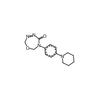 O=C1N=NCOCN1c1ccc(N2CCCCC2)cc1